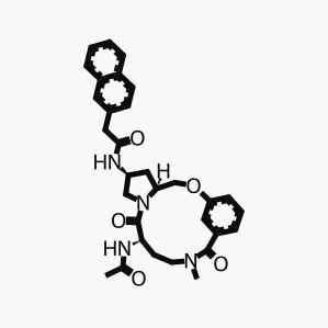 CC(=O)N[C@H]1CCN(C)C(=O)c2cccc(c2)OC[C@@H]2C[C@H](NC(=O)Cc3ccc4ccccc4c3)CN2C1=O